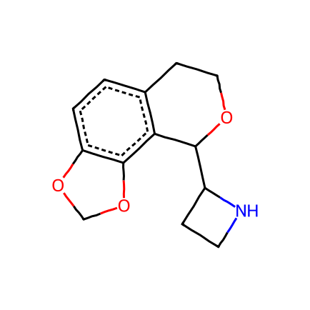 c1cc2c(c3c1CCOC3C1CCN1)OCO2